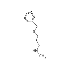 CNCCCSCc1ccccn1